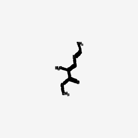 COC(=O)/C(C)=C/N=C/N